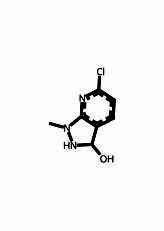 CN1NC(O)c2ccc(Cl)nc21